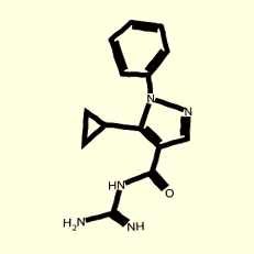 N=C(N)NC(=O)c1cnn(-c2ccccc2)c1C1CC1